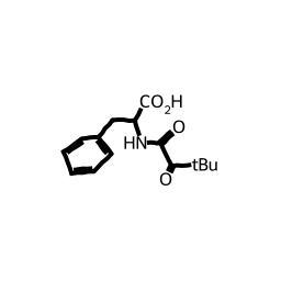 CC(C)(C)C(=O)C(=O)NC(Cc1ccccc1)C(=O)O